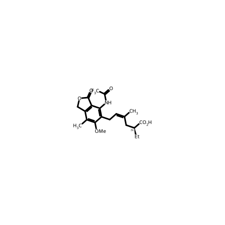 CC[C@@H](CC(C)=CCc1c(NC(=O)C(F)(F)F)c2c(c(C)c1OC)COC2=O)C(=O)O